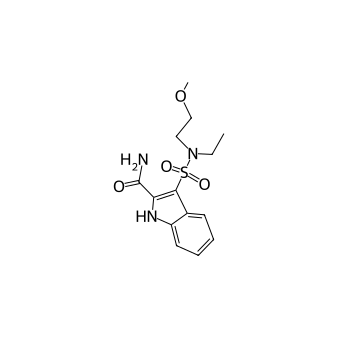 CCN(CCOC)S(=O)(=O)c1c(C(N)=O)[nH]c2ccccc12